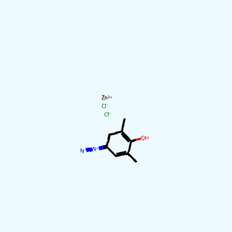 CC1=CC(=[N+]=[N-])CC(C)=C1O.[Cl-].[Cl-].[Zn+2]